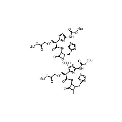 CC(C)(C)OC(=O)CO/N=C(\C(=O)N[C@@H]1C(=O)N(S(=O)(=O)O)[C@@H]1Cn1cncn1)c1csc(NC(=O)OC(C)(C)C)n1.CC(C)(C)OC(=O)CO/N=C(\C(=O)N[C@@H]1C(=O)N[C@@H]1Cn1cncn1)c1csc(NC(=O)OC(C)(C)C)n1